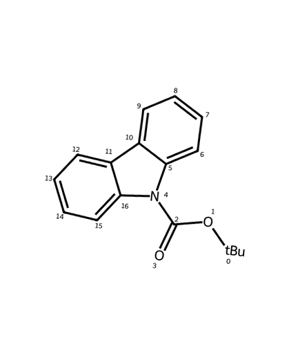 CC(C)(C)OC(=O)n1c2ccccc2c2ccccc21